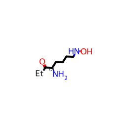 CCC(=O)[C@@H](N)CCCCNO